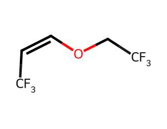 FC(F)(F)/C=C\OCC(F)(F)F